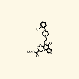 COC(=O)C(=O)Cn1c(=O)n(CCN2CCN(c3ccccc3Cl)CC2)c(=O)c2cscc21